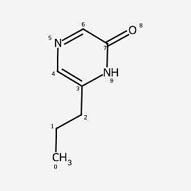 CCCc1cncc(=O)[nH]1